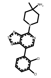 CC1(N)CCN(c2ncc(-c3cccc(Cl)c3Cl)c3nsnc23)CC1